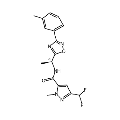 Cc1cccc(-c2noc([C@H](C)NC(=O)c3cc(C(F)F)nn3C)n2)c1